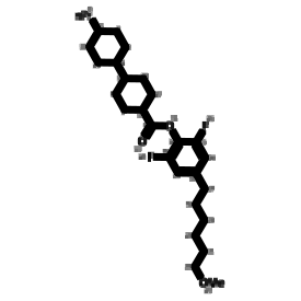 CCCC1CCC(C2CCC(C(=O)Oc3c(F)cc(CCCCCCOC)cc3F)CC2)CC1